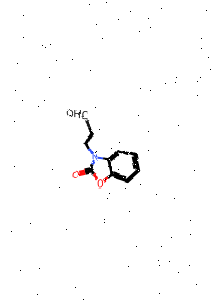 O=CCCn1c(=O)oc2ccccc21